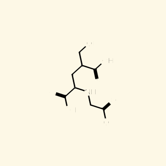 O=C(O)CNC(CC(CO)C(=O)O)C(=O)O